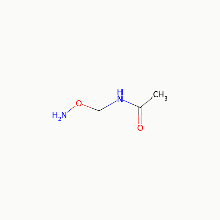 CC(=O)NCON